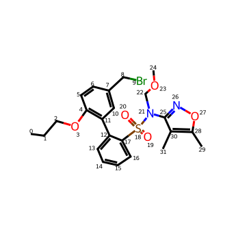 CCCOc1ccc(CBr)cc1-c1ccccc1S(=O)(=O)N(COC)c1noc(C)c1C